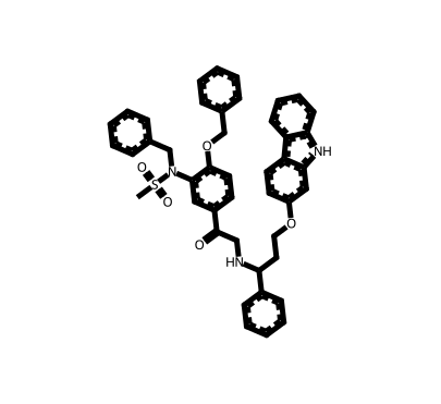 CS(=O)(=O)N(Cc1ccccc1)c1cc(C(=O)CNC(CCOc2ccc3c(c2)[nH]c2ccccc23)c2ccccc2)ccc1OCc1ccccc1